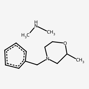 CC1CN(Cc2ccccc2)CCO1.CNC